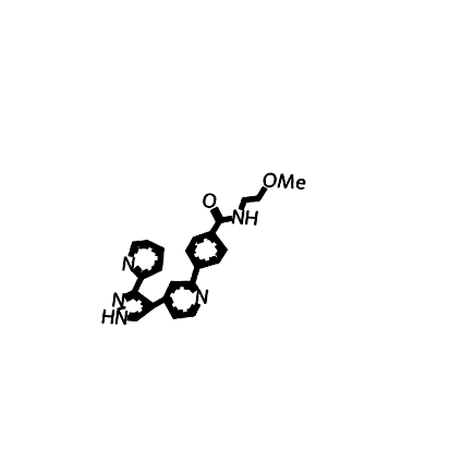 COCCNC(=O)c1ccc(-c2cc(-c3c[nH]nc3-c3ccccn3)ccn2)cc1